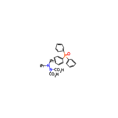 CC(C)N(C(C)C)N(C(=O)O)C(=O)O.O=P(c1ccccc1)(c1ccccc1)c1ccccc1